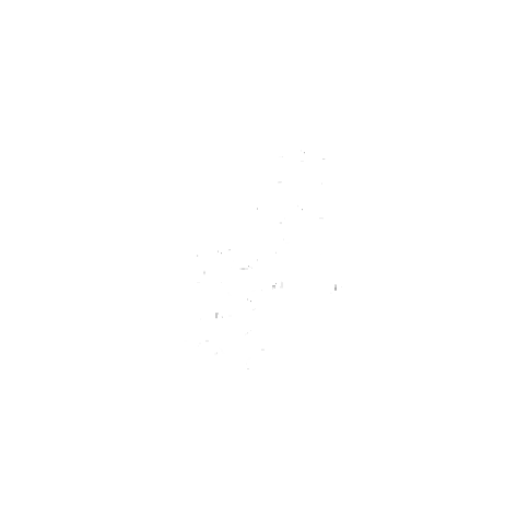 CC(C)Oc1cc2c(cc1Nc1nc(Nc3ccccc3S(=O)(=O)C(C)C)c3cc[nH]c3n1)C(=O)N(C1CCNCC1)C2